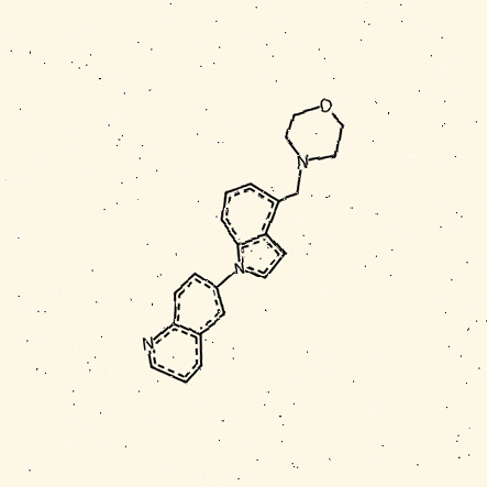 c1cnc2ccc(-n3ccc4c(CN5CCOCC5)cccc43)cc2c1